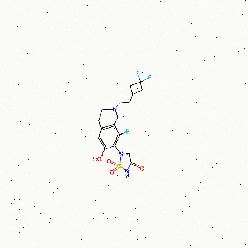 O=C1CN(c2c(O)cc3c(c2F)CN(CCC2CC(F)(F)C2)CC3)S(=O)(=O)N1